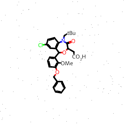 COc1c(OCc2ccccc2)cccc1C1OC(CC(=O)O)C(=O)N(CC(C)(C)C)c2ccc(Cl)cc21